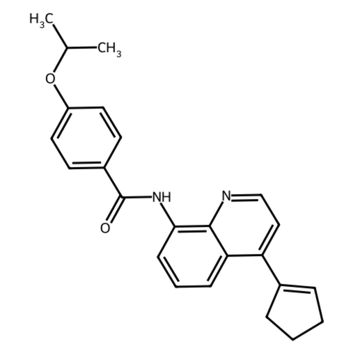 CC(C)Oc1ccc(C(=O)Nc2cccc3c(C4=CCCC4)ccnc23)cc1